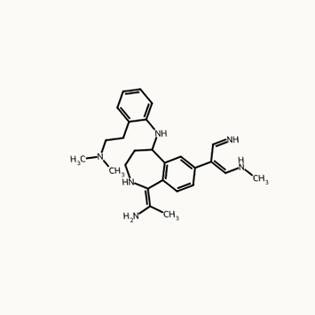 CN/C=C(\C=N)c1ccc2c(c1)C(Nc1ccccc1CCN(C)C)CCN/C2=C(/C)N